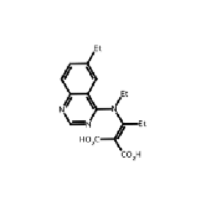 CCC(=C(C(=O)O)C(=O)O)N(CC)c1ncnc2ccc(CC)cc12